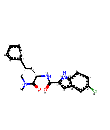 CN(C)C(=O)[C@H](CCc1ccccc1)NC(=O)c1cc2cc(Cl)ccc2[nH]1